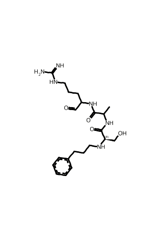 CC(NC(=O)[C@@H](CO)NCCCc1ccccc1)C(=O)NC(C=O)CCCNC(=N)N